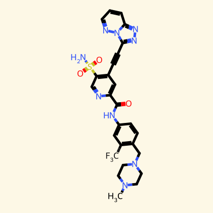 CN1CCN(Cc2ccc(NC(=O)c3cc(C#Cc4nnc5cccnn45)c(S(N)(=O)=O)cn3)cc2C(F)(F)F)CC1